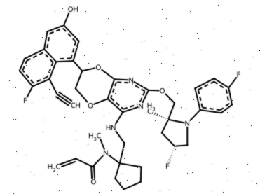 C#Cc1c(F)ccc2cc(O)cc(C3COc4c(NCC5(N(C)C(=O)C=C)CCCC5)nc(OC[C@]5(C)C[C@@H](F)CN5c5ccc(F)cc5)nc4O3)c12